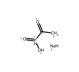 CC(=O)[PH](=O)O.[NaH]